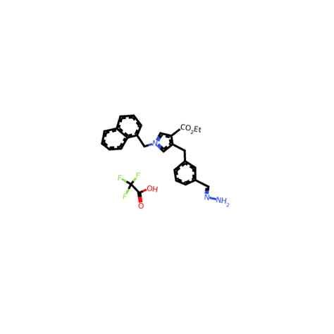 CCOC(=O)c1cn(Cc2cccc3ccccc23)cc1Cc1cccc(C=NN)c1.O=C(O)C(F)(F)F